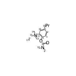 CC(C)c1ccc(OC(=O)N(C)C)c([N+](C)(C)C)c1.[I-]